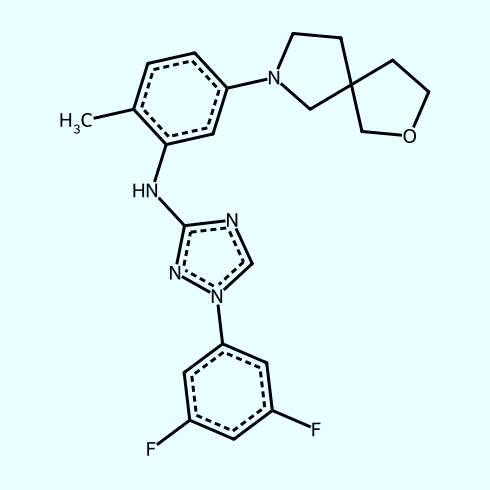 Cc1ccc(N2CCC3(CCOC3)C2)cc1Nc1ncn(-c2cc(F)cc(F)c2)n1